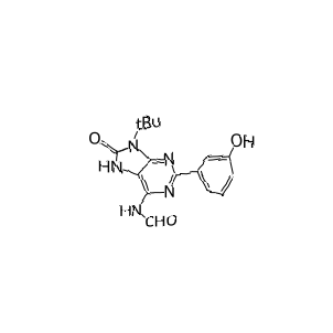 CC(C)(C)n1c(=O)[nH]c2c(NC=O)nc(-c3cccc(O)c3)nc21